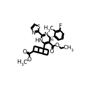 CCOC(=O)C1=C(C23C4C5C2C2C3C4C52C(=O)OC)NC(c2nccs2)=N[C@@H]1c1cccc(F)c1C